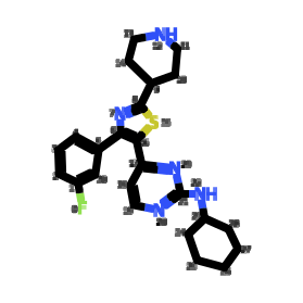 Fc1cccc(-c2nc(C3CCNCC3)sc2-c2ccnc(NC3CCCCC3)n2)c1